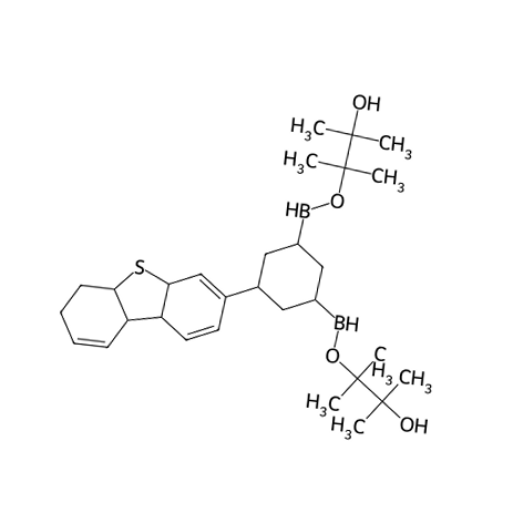 CC(C)(O)C(C)(C)OBC1CC(BOC(C)(C)C(C)(C)O)CC(C2=CC3SC4CCC=CC4C3C=C2)C1